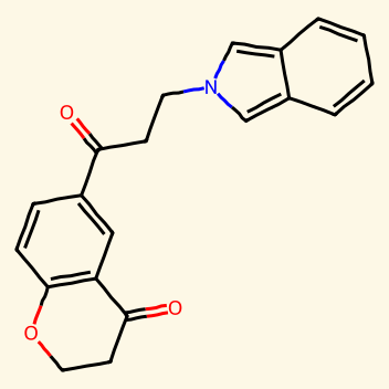 O=C(CCn1cc2ccccc2c1)c1ccc2c(c1)C(=O)CCO2